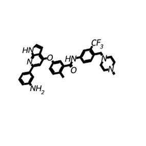 Cc1ccc(Oc2cc(-c3cccc(N)c3)nc3[nH]ccc23)cc1C(=O)Nc1ccc(CN2CCN(C)CC2)c(C(F)(F)F)c1